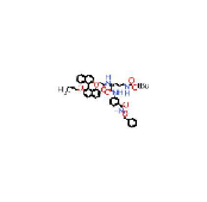 C=CCOc1ccc2ccccc2c1-c1c(OCC(=O)N[C@H](CCCNC(=O)OC(C)(C)C)C(=O)Nc2cccc(C(=O)NOCc3ccccc3)c2)ccc2ccccc12